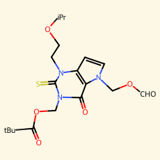 CC(C)OCCn1c(=S)n(COC(=O)C(C)(C)C)c(=O)c2c1ccn2COC=O